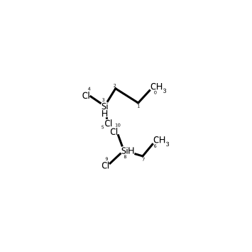 CCC[SiH](Cl)Cl.CC[SiH](Cl)Cl